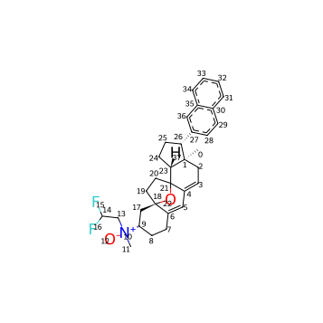 C[C@]12CC=C3C=C4CC[C@H]([N+](C)([O-])CC(F)F)C[C@]45CCC3(O5)[C@@H]1CC[C@@H]2c1ccc2ccccc2c1